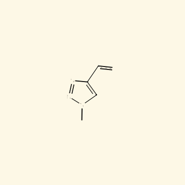 Cn1cc([C]=O)nn1